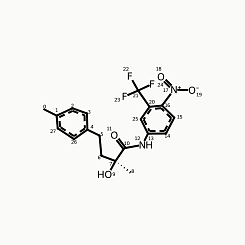 Cc1ccc(CC[C@](C)(O)C(=O)Nc2ccc([N+](=O)[O-])c(C(F)(F)F)c2)cc1